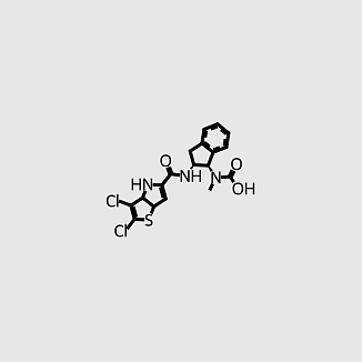 CN(C(=O)O)[C@@H]1c2ccccc2C[C@H]1NC(=O)C1=CC2SC(Cl)=C(Cl)C2N1